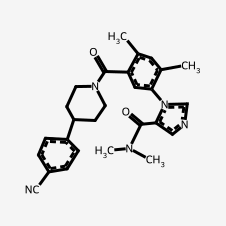 Cc1cc(C)c(-n2cncc2C(=O)N(C)C)cc1C(=O)N1CCC(c2ccc(C#N)cc2)CC1